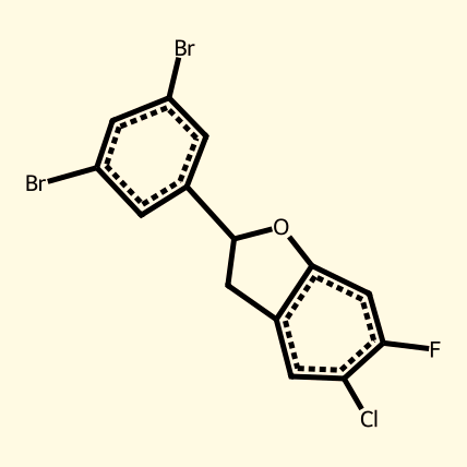 Fc1cc2c(cc1Cl)CC(c1cc(Br)cc(Br)c1)O2